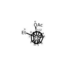 CC[C]12[CH]3[CH]4[CH]5[C@]1(OC(C)=O)[Fe]43521678[CH]2[CH]1[CH]6[CH]7[CH]28